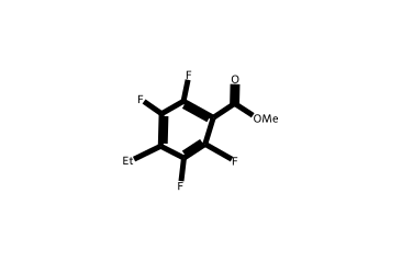 CCc1c(F)c(F)c(C(=O)OC)c(F)c1F